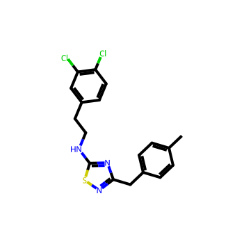 Cc1ccc(Cc2nsc(NCCc3ccc(Cl)c(Cl)c3)n2)cc1